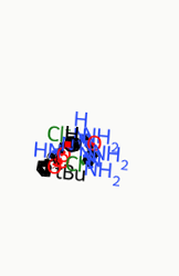 CC(C)(C)OC(=O)[C@H](Cc1ccccc1)NC(=O)C[N+]12CCC(CC1)[C@H](NC(N)=NC(=O)c1nc(Cl)c(N)nc1N)C2.[Cl-]